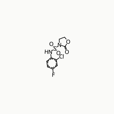 O=C1OCCN1S(=O)(=O)Nc1ccc(F)cc1Cl